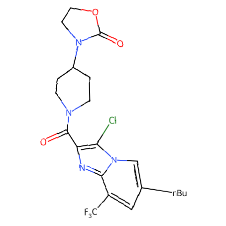 CCCCc1cc(C(F)(F)F)c2nc(C(=O)N3CCC(N4CCOC4=O)CC3)c(Cl)n2c1